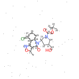 Cc1onc2c1c(=O)n(C1CC(CO)CN(C(=O)OC(C)(C)C)C1)c1cccc(Cl)c21